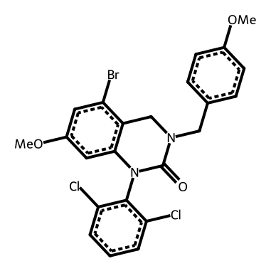 COc1ccc(CN2Cc3c(Br)cc(OC)cc3N(c3c(Cl)cccc3Cl)C2=O)cc1